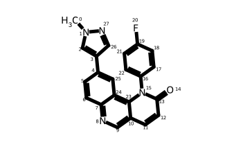 Cn1cc(-c2ccc3ncc4ccc(=O)n(-c5ccc(F)cc5)c4c3c2)cn1